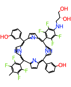 Cc1c(F)c(F)c(-c2c3nc(c(-c4cccc(O)c4)c4ccc([nH]4)c(-c4c(F)c(F)c(NC[C@@H](O)CO)c(F)c4F)c4nc(c(-c5cccc(O)c5)c5ccc2[nH]5)C=C4)C=C3)c(F)c1F